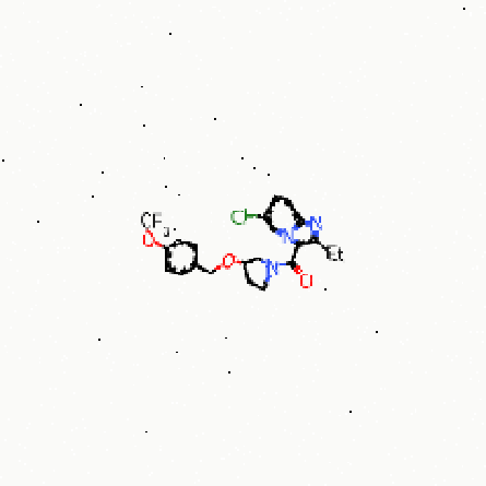 CCc1nc2ccc(Cl)cn2c1C(=O)N1CCC(OCc2ccc(OC(F)(F)F)cc2)C1